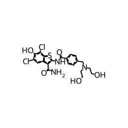 NC(=O)c1c(NC(=O)c2ccc(CN(CCO)CCO)cc2)sc2c(Cl)c(O)c(Cl)cc12